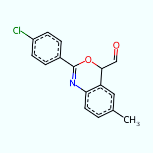 Cc1ccc2c(c1)C(C=O)OC(c1ccc(Cl)cc1)=N2